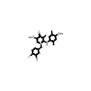 COc1cc(C)c(Nc2c(C)c(=O)c(OC)cn2Cc2ccc(F)c(Cl)c2)cc1C